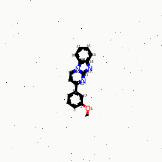 COc1cccc(-c2ccn3c(n2)nc2ccccc23)c1